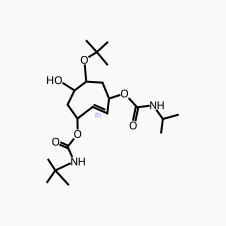 CC(C)NC(=O)OC1/C=C/C(OC(=O)NC(C)(C)C)CC(O)C(OC(C)(C)C)C1